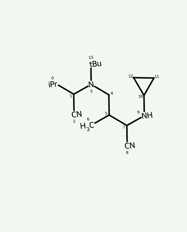 CC(C)C(C#N)N(CC(C)C(C#N)NC1CC1)C(C)(C)C